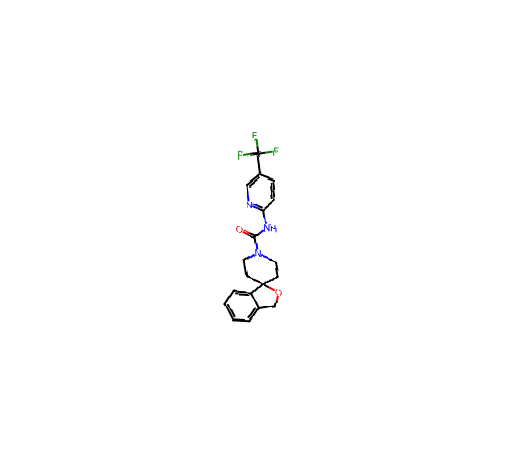 O=C(Nc1ccc(C(F)(F)F)cn1)N1CCC2(CC1)OCc1ccccc12